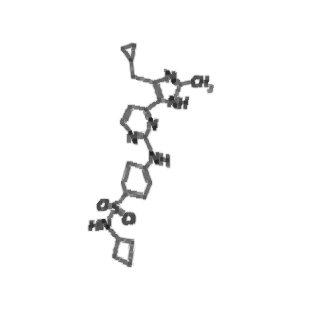 Cc1nc(CC2CC2)c(-c2ccnc(Nc3ccc(S(=O)(=O)NC4CCC4)cc3)n2)[nH]1